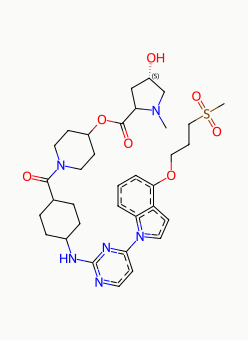 CN1C[C@@H](O)CC1C(=O)OC1CCN(C(=O)C2CCC(Nc3nccc(-n4ccc5c(OCCCS(C)(=O)=O)cccc54)n3)CC2)CC1